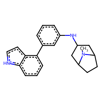 CN1C2CCC1CC(Nc1cccc(-c3cccc4[nH]ccc34)c1)C2